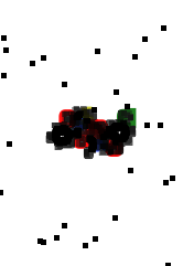 CC(COC(c1ccccc1)N1C(=O)CSC1=O)N1COc2ccc(Cl)cc2C1=O